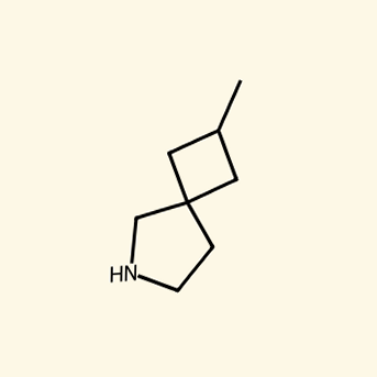 CC1CC2(CCNC2)C1